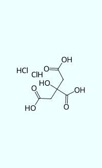 Cl.Cl.O=C(O)CC(O)(CC(=O)O)C(=O)O